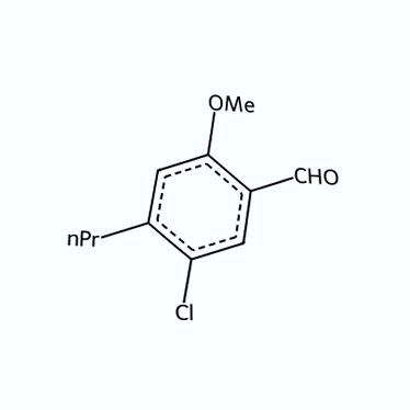 CCCc1cc(OC)c(C=O)cc1Cl